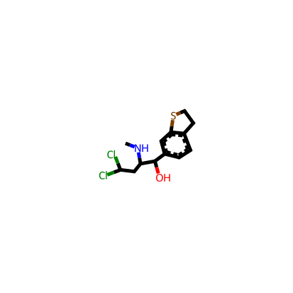 CNC(CC(Cl)Cl)C(O)c1ccc2c(c1)SCC2